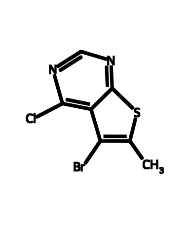 Cc1sc2ncnc(Cl)c2c1Br